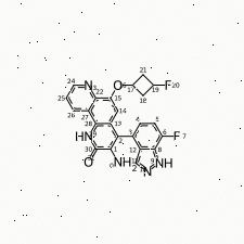 Nc1c(-c2ccc(F)c3[nH]ncc23)c2cc(OC3CC(F)C3)c3ncccc3c2[nH]c1=O